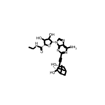 CCNC(=O)[C@H]1O[C@@H](n2cnc3c(N)nc(C#C[C@@]4(O)CC5CC(C5(C)C)[C@@]4(C)O)nc32)C(O)C1O